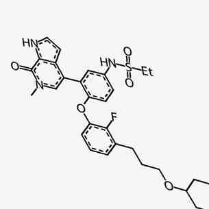 CCS(=O)(=O)Nc1ccc(Oc2cccc(CCCOC3CCNCC3)c2F)c(-c2cn(C)c(=O)c3[nH]ccc23)c1